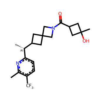 Cc1nc([C@H](C)C2CC3(C2)CN(C(=O)C2CC(C)(O)C2)C3)ccc1C(F)(F)F